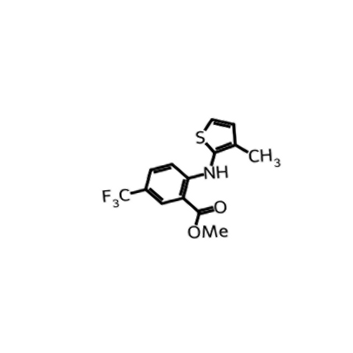 COC(=O)c1cc(C(F)(F)F)ccc1Nc1sccc1C